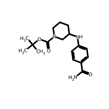 CC(C)(C)OC(=O)N1CCCC(Nc2ccc(C(N)=O)cc2)C1